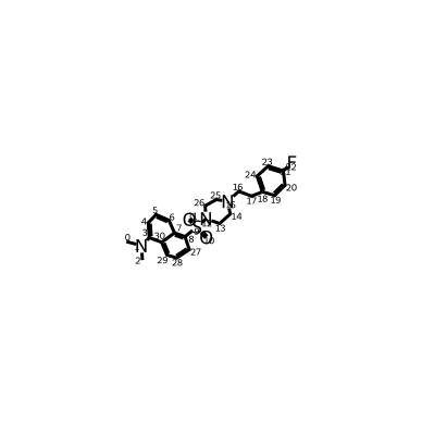 CN(C)c1cccc2c(S(=O)(=O)N3CCN(CCc4ccc(F)cc4)CC3)cccc12